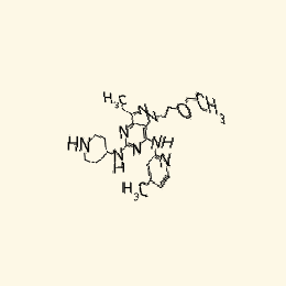 CCOCCn1nc(CC)c2nc(NC3CCNCC3)nc(Nc3cc(C)ccn3)c21